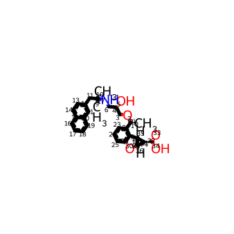 C[C@@H](OCC(O)CNC(C)(C)Cc1ccc2ccccc2c1)c1cccc2c1[C@H]1[C@@H](O2)[C@@H]1C(=O)O